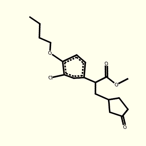 CCCCOc1ccc(C(CC2CCC(=O)C2)C(=O)OC)cc1Cl